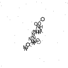 Cc1csc([C@@]2(CNC(=O)OCc3ccccc3)[C@@H]3CCN(c4cnc5c(-c6ccc7nn(C)cc7c6C)nn(C6CCCCO6)c5n4)C[C@@H]32)n1